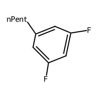 CC[CH]CCc1cc(F)cc(F)c1